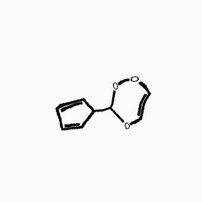 C1=CC(C2OC=COO2)C=C1